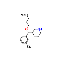 COCCCO[C@@H](c1cccc(C#N)c1)C1CCCNC1